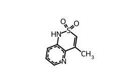 CC1=CS(=O)(=O)Nc2cccnc21